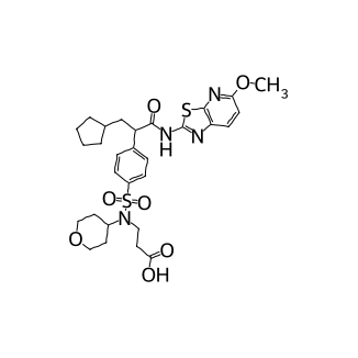 COc1ccc2nc(NC(=O)C(CC3CCCC3)c3ccc(S(=O)(=O)N(CCC(=O)O)C4CCOCC4)cc3)sc2n1